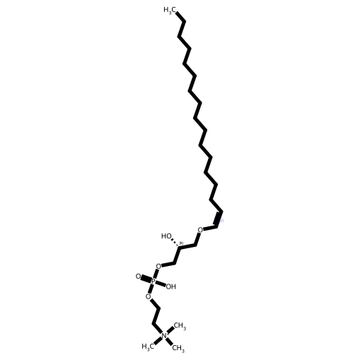 CCCCCCCCCCCCCCC/C=C\OC[C@@H](O)COP(=O)(O)OCC[N+](C)(C)C